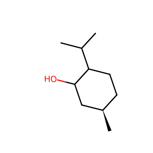 CC(C)C1CC[C@@H](C)CC1O